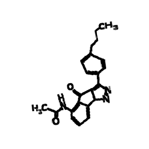 CCCCc1ccc(C2=C3C(=O)c4c(NC(C)=O)cccc4C3N=N2)cc1